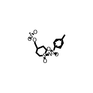 Cc1ccc(S(=O)(=O)N=S2(=O)CCC(COS(C)(=O)=O)CC2)cc1